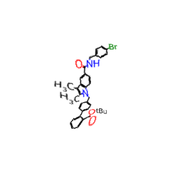 Cc1c(C)n(Cc2ccc(-c3ccccc3C(=O)OC(C)(C)C)cc2)c2ccc(C(=O)NCc3ccc(Br)cc3)cc12